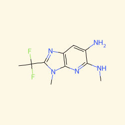 CNc1nc2c(cc1N)nc(C(C)(F)F)n2C